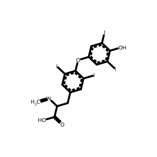 C=NC(Cc1cc(I)c(Oc2cc(I)c(O)c(I)c2)c(I)c1)C(=O)O